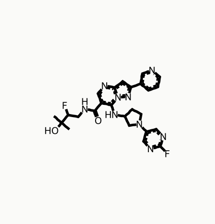 CC(C)(O)C(F)CNC(=O)c1cnc2cc(-c3cccnc3)nn2c1NC1CCN(c2cnc(F)nc2)C1